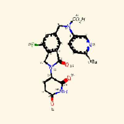 CC(C)(C)c1ccc(N(Cc2cc(F)c3c(c2)C(=O)N(C2CCC(=O)NC2=O)C3)C(=O)O)cn1